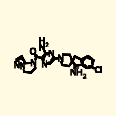 Nc1nc(N2CCC3(CC2)Cc2ccc(Cl)cc2[C@H]3N)cnc1C(=O)N1CCCn2nccc21